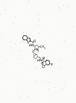 CC1C[C@H](NC(=O)c2cc3ccccc3s2)C(=O)N1C[C@H]1OCC[C@@H]1CNS(=O)(=O)c1ccc(F)cc1Cl